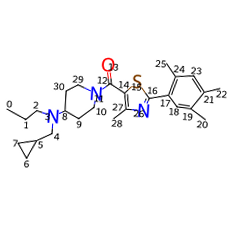 CCCN(CC1CC1)C1CCN(C(=O)c2sc(-c3cc(C)c(C)cc3C)nc2C)CC1